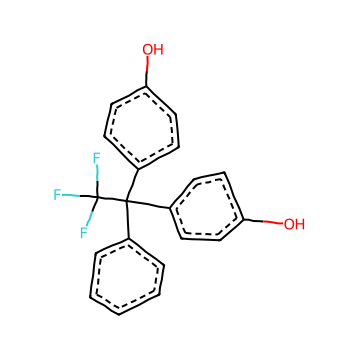 Oc1ccc(C(c2ccccc2)(c2ccc(O)cc2)C(F)(F)F)cc1